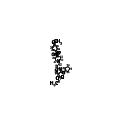 CCOC(=O)c1cnc(CCN2CCN(S(=O)(=O)c3ccc(OC)cc3)CC2)nc1OC1CCCC1